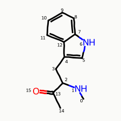 CNC(Cc1c[nH]c2ccccc12)C(C)=O